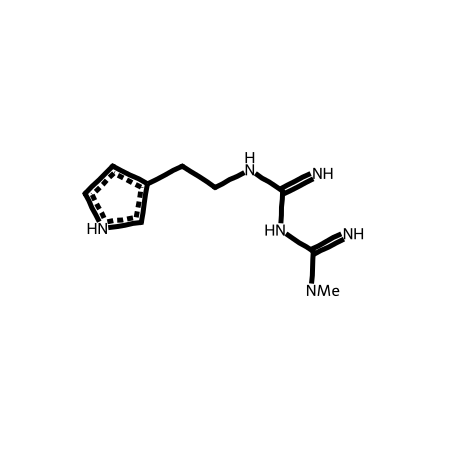 CNC(=N)NC(=N)NCCc1cc[nH]c1